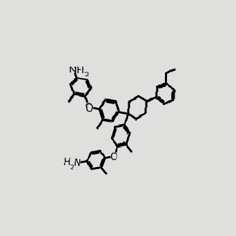 CCc1cccc(C2CCC(c3ccc(Oc4ccc(N)cc4C)c(C)c3)(c3ccc(Oc4ccc(N)cc4C)c(C)c3)CC2)c1